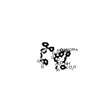 COc1ccc(/C=C/C(=O)Nc2ccccc2C(=O)O)cc1OC.Cc1ccc2c([nH]c(=O)c3c(=O)cc(C(=O)OCCC(C)C)oc32)c1C.O=c1[nH]c2ccccc2n1CCCN1CCN(C(c2ccccc2)c2ccccc2)CC1